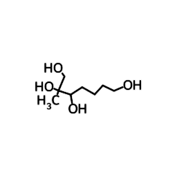 CC(O)(CO)C(O)CCCCO